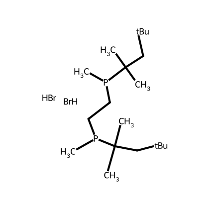 Br.Br.CP(CCP(C)C(C)(C)CC(C)(C)C)C(C)(C)CC(C)(C)C